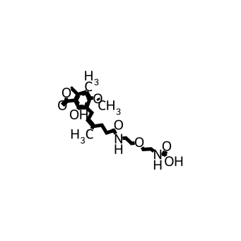 COc1c(C)c2c(c(O)c1CC=C(C)CCC(=O)NCCOCCNC(=O)O)C(=O)OC2